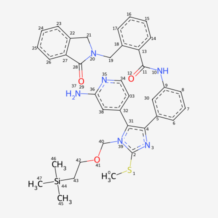 CSc1nc(-c2cccc(NC(=O)c3ccccc3CN3Cc4ccccc4C3=O)c2)c(-c2ccnc(N)c2)n1COCC[Si](C)(C)C